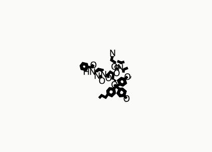 CCCc1ccc(C(OC[C@H]2O[C@@H](n3ccc(NC(=O)c4ccccc4)nc3=O)C[C@H]2OP(OCCC#N)N(C(C)C)C(C)C)(c2ccc(OC)cc2)c2ccc(OC)cc2)cc1